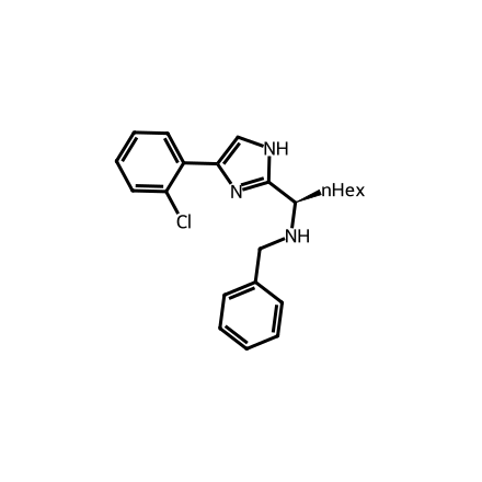 CCCCCC[C@@H](NCc1ccccc1)c1nc(-c2ccccc2Cl)c[nH]1